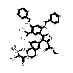 CCNC(=O)c1noc(-c2cc(C(C)C)c(OCc3ccccc3)cc2OCc2ccccc2)c1-c1ccc2c(c1)CCN(C(=O)C(C)N(C)C)C2